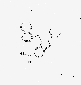 COC(=O)c1cc2ccc(C(=N)N)cc2n1Cc1cccc2ccccc12